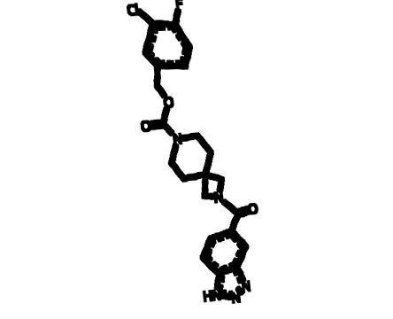 O=C(OCc1ccc(F)c(Cl)c1)N1CCC2(CC1)CN(C(=O)c1ccc3[nH]nnc3c1)C2